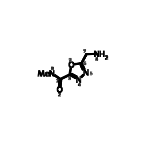 CNC(=O)c1nnc(CN)o1